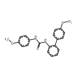 O=C(Nc1ccc(OC(F)(F)F)cc1)Nc1ccccc1-c1ccc(OC(F)(F)F)cc1